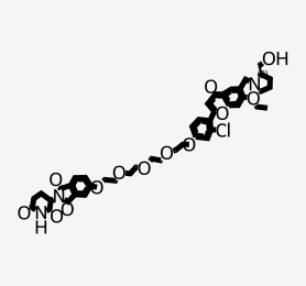 CCOc1cc2oc(-c3ccc(OCCOCCOCCOCCOc4ccc5c(c4)C(=O)N(C4CCC(=O)NC4=O)C5=O)cc3Cl)cc(=O)c2cc1CN1CCC[C@@H]1CO